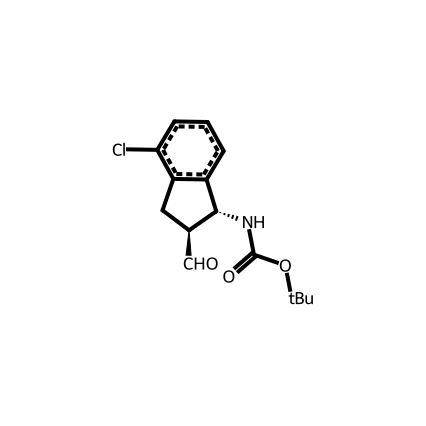 CC(C)(C)OC(=O)N[C@H]1c2cccc(Cl)c2C[C@@H]1C=O